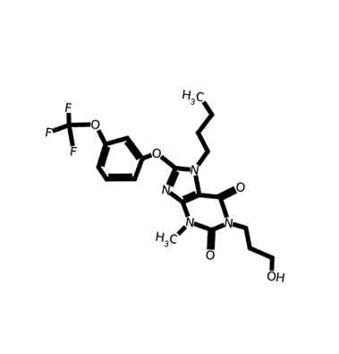 CCCCn1c(Oc2cccc(OC(F)(F)F)c2)nc2c1c(=O)n(CCCO)c(=O)n2C